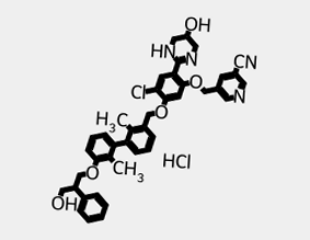 Cc1c(COc2cc(OCc3cncc(C#N)c3)c(C3=NCC(O)CN3)cc2Cl)cccc1-c1cccc(OCC(CO)c2ccccc2)c1C.Cl